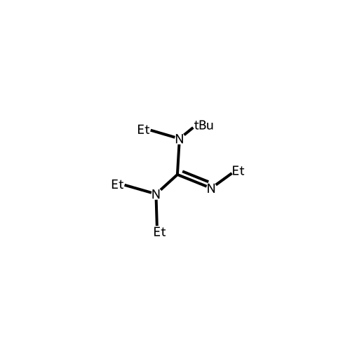 CCN=C(N(CC)CC)N(CC)C(C)(C)C